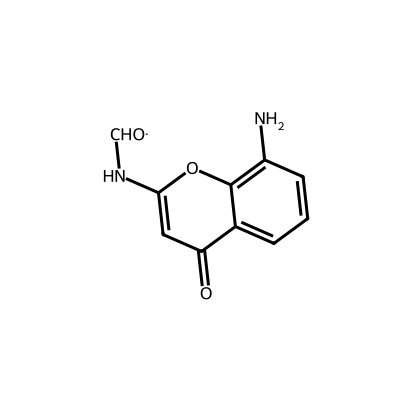 Nc1cccc2c(=O)cc(N[C]=O)oc12